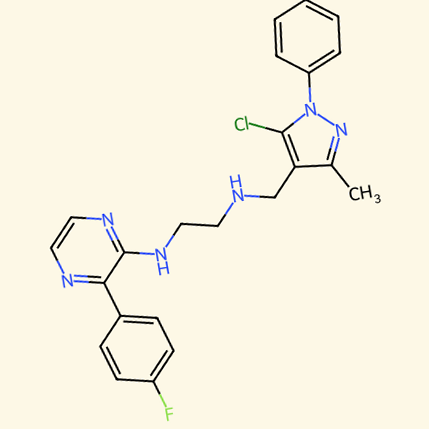 Cc1nn(-c2ccccc2)c(Cl)c1CNCCNc1nccnc1-c1ccc(F)cc1